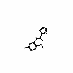 COc1ccc(C)cc1N=C(C)c1cccs1